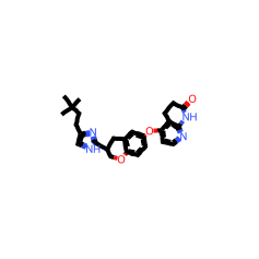 CC(C)(C)CCc1c[nH]c(C2COc3ccc(Oc4ccnc5c4CCC(=O)N5)cc3C2)n1